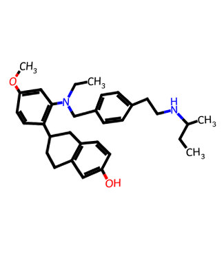 CCC(C)NCCc1ccc(CN(CC)c2cc(OC)ccc2C2CCc3cc(O)ccc3C2)cc1